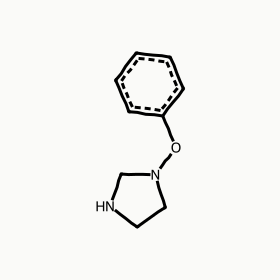 c1ccc(ON2CCNC2)cc1